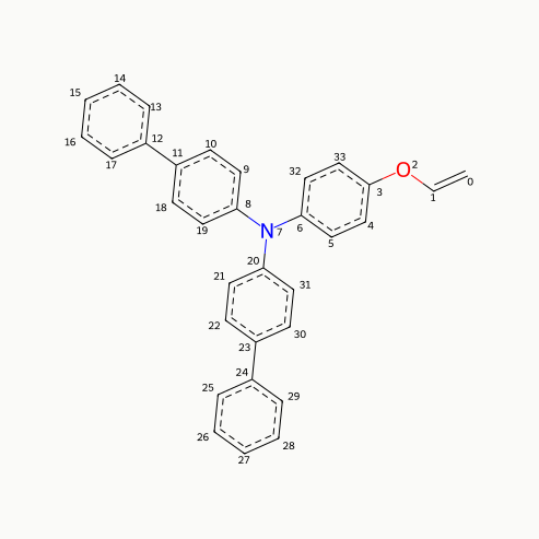 C=COc1ccc(N(c2ccc(-c3ccccc3)cc2)c2ccc(-c3ccccc3)cc2)cc1